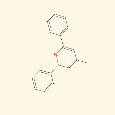 CC1=CC(c2ccccc2)OC(c2ccccc2)=C1